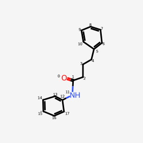 O=C(CCCc1ccccc1)Nc1cc[c]cc1